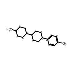 CC1CCC(C2CCC(c3ccc(C#N)cc3)CC2)CC1